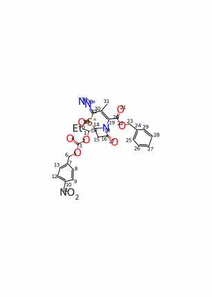 CCC(OC(=O)OCc1ccc([N+](=O)[O-])cc1)[C@@]12CC(=O)N1C(C(=O)OCc1ccccc1)=C(C)C(=[N+]=[N-])[S+]2[O-]